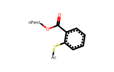 CCCCCOC(=O)c1ccccc1SC(C)=O